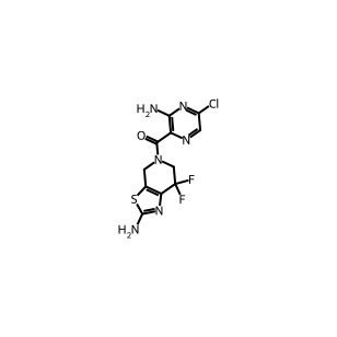 Nc1nc2c(s1)CN(C(=O)c1ncc(Cl)nc1N)CC2(F)F